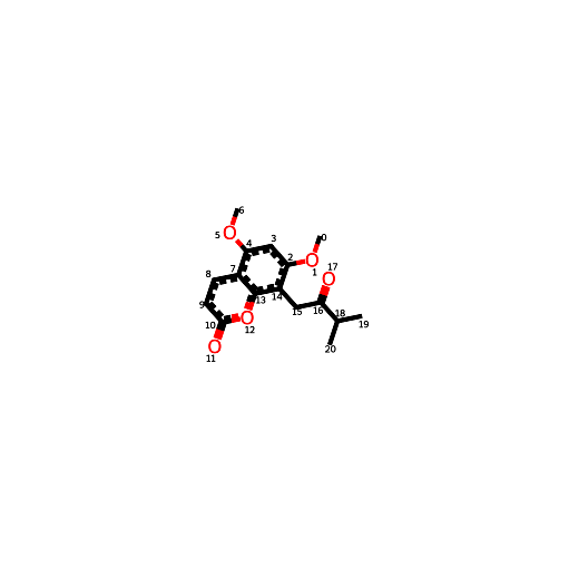 COc1cc(OC)c2ccc(=O)oc2c1CC(=O)C(C)C